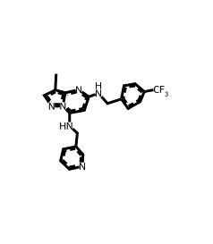 Cc1cnn2c(NCc3cccnc3)cc(NCc3ccc(C(F)(F)F)cc3)nc12